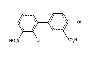 O=S(=O)(O)c1cc(-c2cccc(S(=O)(=O)O)c2O)ccc1O